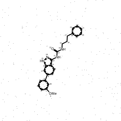 COc1cccc(-c2ccc3c(NC(=O)NCCCc4ccccc4)n[nH]c3c2)c1